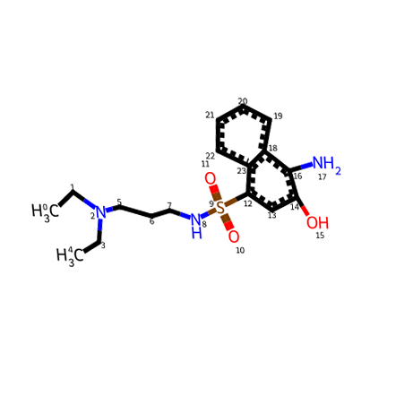 CCN(CC)CCCNS(=O)(=O)c1cc(O)c(N)c2ccccc12